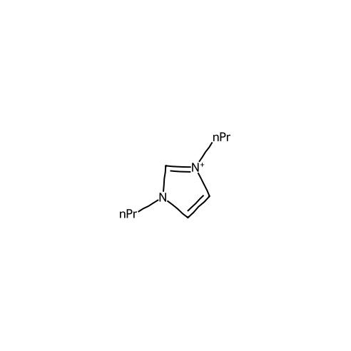 [CH2]CCn1cc[n+](CC[CH2])c1